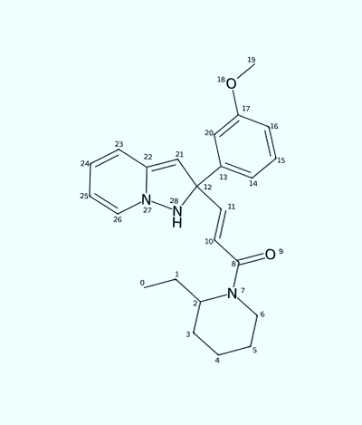 CCC1CCCCN1C(=O)C=CC1(c2cccc(OC)c2)C=C2C=CC=CN2N1